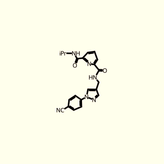 CC(C)NC(=O)c1cccc(C(=O)NCc2cnn(-c3ccc(C#N)cc3)c2)n1